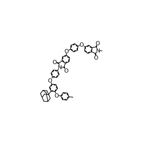 Cc1ccc(Oc2ccc(Oc3ccc(N4C(=O)c5ccc(Oc6ccc(Oc7ccc8c(c7)C(=O)N(C)C8=O)cc6)cc5C4=O)cc3)cc2C23CC4CC(CC(C4)C2)C3)cc1